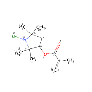 C=C(C)C(=O)OC1CC(C)(C)N(Cl)C1(C)C